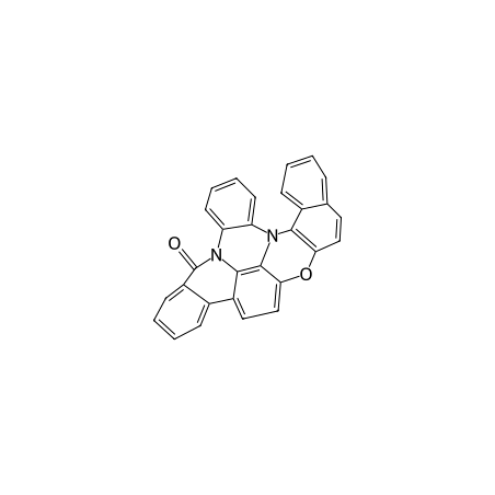 O=c1c2ccccc2c2ccc3c4c2n1-c1ccccc1N4c1c(ccc2ccccc12)O3